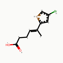 C/C(=C\CCC(=O)O)c1cc(Br)cs1